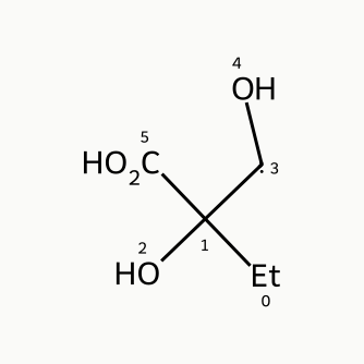 CCC(O)([CH]O)C(=O)O